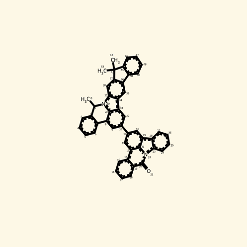 CC1c2ccccc2-c2cc(-c3cc4c5ccccc5c(=O)n5c6ccccc6c(c3)c45)cc3c4cc5c(cc4n1c23)C(C)(C)c1ccccc1-5